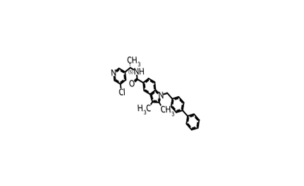 Cc1c(C)n(Cc2ccc(-c3ccccc3)cc2)c2ccc(C(=O)N[C@@H](C)c3cncc(Cl)c3)cc12